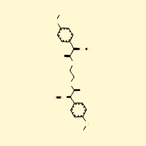 COc1ccc(C(=[N+]=[N-])C(=O)OCCOC(=O)C(=[N+]=[N-])c2ccc(OC)cc2)cc1